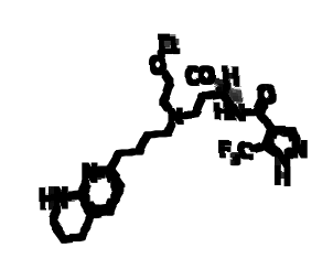 CCOCCN(CCCCc1ccc2c(n1)NCCC2)CC[C@H](NC(=O)c1cn[nH]c1C(F)(F)F)C(=O)O